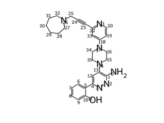 Nc1nnc(-c2ccccc2O)cc1N1CCN(c2ccnc(C#CCN3CCCCCC3)c2)CC1